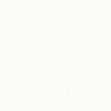 CC(=O)c1cccc(OCc2cccc(Cl)c2)c1